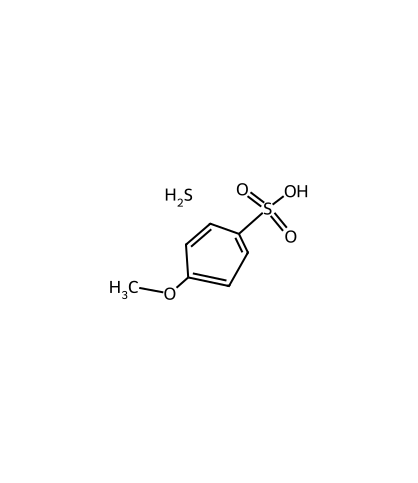 COc1ccc(S(=O)(=O)O)cc1.S